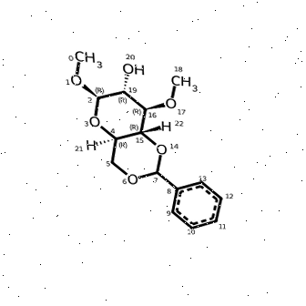 CO[C@@H]1O[C@@H]2COC(c3ccccc3)O[C@H]2[C@H](OC)[C@H]1O